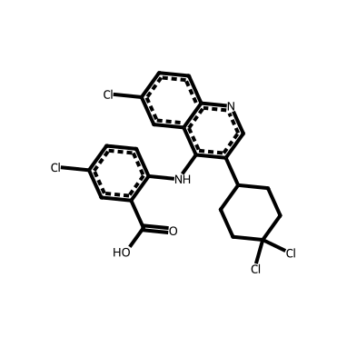 O=C(O)c1cc(Cl)ccc1Nc1c(C2CCC(Cl)(Cl)CC2)cnc2ccc(Cl)cc12